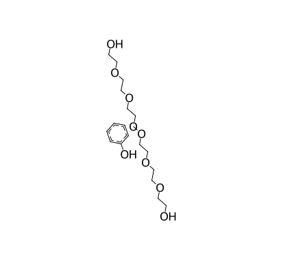 OCCOCCOCCOOCCOCCOCCO.Oc1ccccc1